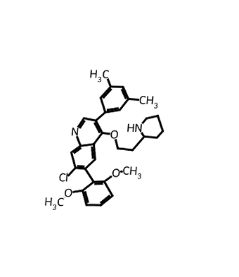 COc1cccc(OC)c1-c1cc2c(OCCC3CCCCN3)c(-c3cc(C)cc(C)c3)cnc2cc1Cl